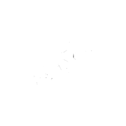 Fc1cc2c3c([nH]c2cc1SC1CC1)CCN(C1CC1)CC3